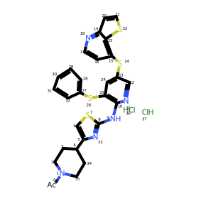 CC(=O)N1CCC(c2csc(Nc3ncc(Sc4ccnc5ccsc45)cc3Sc3ccccc3)n2)CC1.Cl.Cl